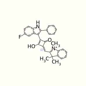 C[N+]1=C(/C=C2\C(=O)C(c3c(-c4ccccc4)[nH]c4ccc(F)cc34)=C2O)C(C)(C)c2ccccc21